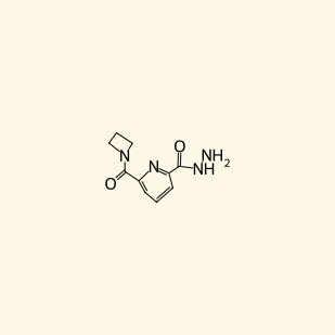 NNC(=O)c1cccc(C(=O)N2CCC2)n1